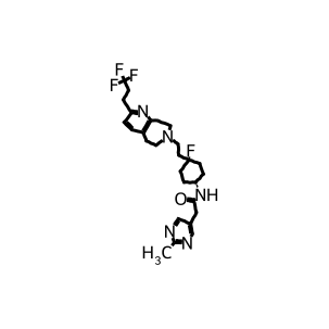 Cc1ncc(CC(=O)N[C@H]2CC[C@](F)(CCN3CCc4ccc(CCC(F)(F)F)nc4CC3)CC2)cn1